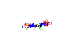 CC(C)(O)Cn1cc2c(n1)CN(c1ccc(-c3nc4nc(O[C@@H]5COC6C5OC[C@H]6O)[nH]c4cc3Cl)cc1)C2